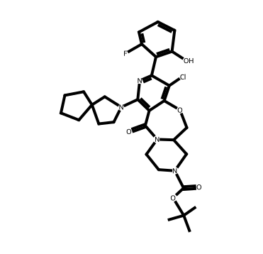 CC(C)(C)OC(=O)N1CCN2C(=O)c3c(N4CCC5(CCCC5)C4)nc(-c4c(O)cccc4F)c(Cl)c3OCC2C1